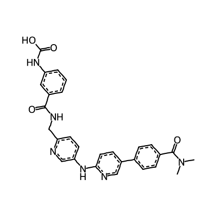 CN(C)C(=O)c1ccc(-c2ccc(Nc3ccc(CNC(=O)c4cccc(NC(=O)O)c4)nc3)nc2)cc1